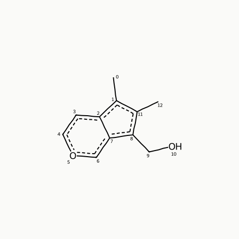 Cc1c2ccocc-2c(CO)c1C